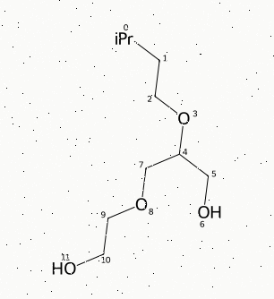 CC(C)CCOC(CO)COCCO